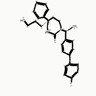 C[C@@H](c1ccc(-c2ccc(F)cc2)cc1)N1CC[C@](CCCO)(c2ccccc2)NC1=O